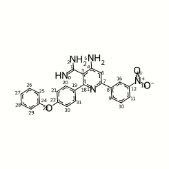 N=C(N)c1c(N)cc(-c2cccc([N+](=O)[O-])c2)nc1-c1ccc(Oc2ccccc2)cc1